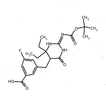 CCC1(CC)NC(=NC(=O)OC(C)(C)C)NC(=O)C1Cc1cc(F)cc(C(=O)O)c1